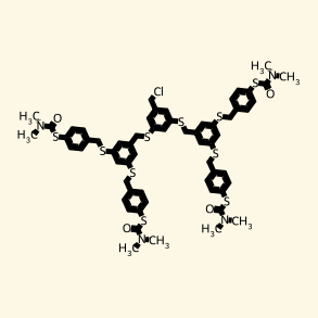 CN(C)C(=O)Sc1ccc(CSc2cc(CSc3cc(CCl)cc(SCc4cc(SCc5ccc(SC(=O)N(C)C)cc5)cc(SCc5ccc(SC(=O)N(C)C)cc5)c4)c3)cc(SCc3ccc(SC(=O)N(C)C)cc3)c2)cc1